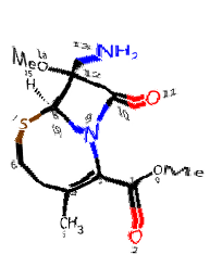 COC(=O)C1=C(C)CS[C@@H]2N1C(=O)C2(N)OC